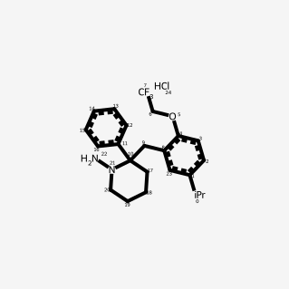 CC(C)c1ccc(OCC(F)(F)F)c(CC2(c3ccccc3)CCCCN2N)c1.Cl